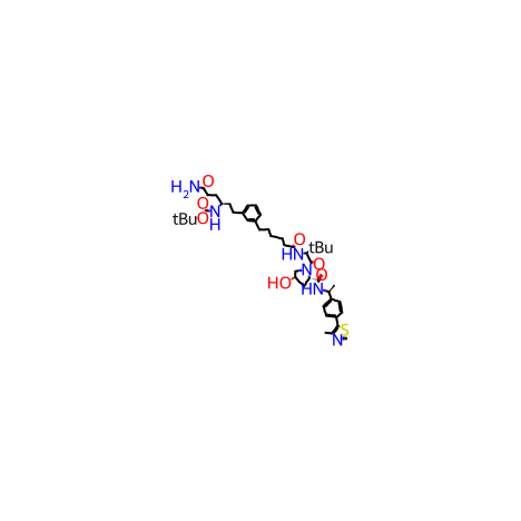 Cc1ncsc1-c1ccc([C@H](C)NC(=O)[C@@H]2C[C@@H](O)CN2C(=O)[C@@H](NC(=O)CCCCCc2cccc(CC[C@H](CCC(N)=O)NC(=O)OC(C)(C)C)c2)C(C)(C)C)cc1